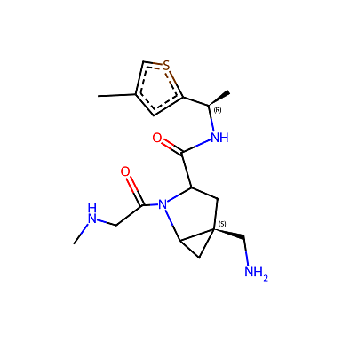 CNCC(=O)N1C(C(=O)N[C@H](C)c2cc(C)cs2)C[C@]2(CN)CC12